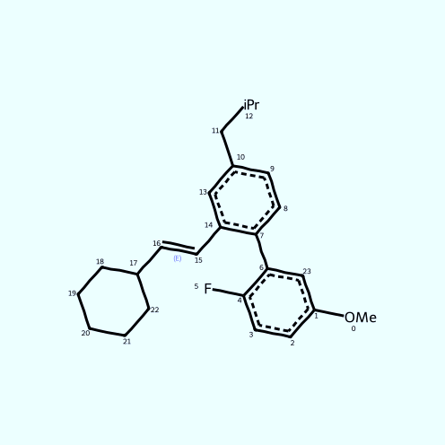 COc1ccc(F)c(-c2ccc(CC(C)C)cc2/C=C/C2CCCCC2)c1